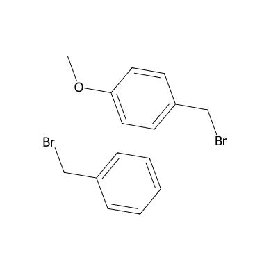 BrCc1ccccc1.COc1ccc(CBr)cc1